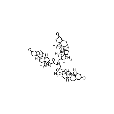 CC1(OC(=O)CN(CC(=O)OC2(C)CC[C@H]3C4CCC5=CC(=O)CC[C@]5(C)[C@H]4CC[C@@]32C)CC(=O)OC2(C)CC[C@H]3C4CCC5=CC(=O)CC[C@]5(C)[C@H]4CC[C@@]32C)CC[C@H]2C3CCC4=CC(=O)CC[C@]4(C)[C@H]3CC[C@@]21C